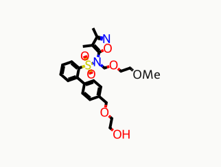 COCCOCN(c1onc(C)c1C)S(=O)(=O)c1ccccc1-c1ccc(COCCO)cc1